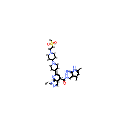 Cc1cc(C)c(CNC(=O)c2cc(C3=CCN(C4CCN(CCS(C)(=O)=O)CC4)CC3)nc3c2cnn3C(C)C)c(=N)[nH]1